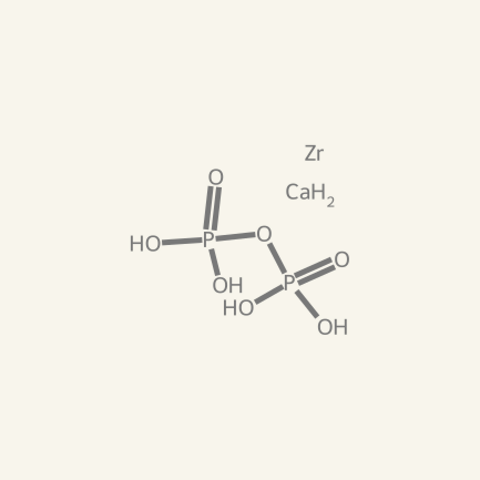 O=P(O)(O)OP(=O)(O)O.[CaH2].[Zr]